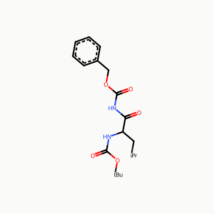 CC(C)CC(NC(=O)OC(C)(C)C)C(=O)NC(=O)OCc1ccccc1